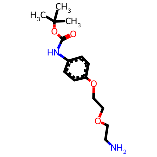 CC(C)(C)OC(=O)Nc1ccc(OCCOCCN)cc1